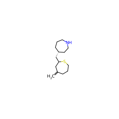 C=C1CCCSC(C[C@@H]2CCCNCC2)C1